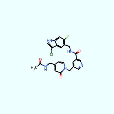 CC(=O)NCc1ccn(Cc2cncc(C(=O)NCc3cc4c(Cl)c[nH]c4cc3F)c2)c(=O)c1